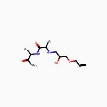 C=CCOCC(O)CNC(C(=O)NC(C(=O)OC)C(C)C)C(C)C